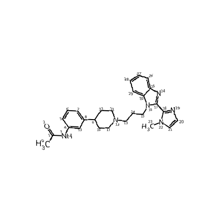 CC(=O)Nc1cccc(C2CCN(CCCn3c(-c4nccn4C)nc4ccccc43)CC2)c1